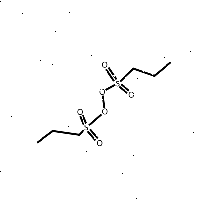 CCCS(=O)(=O)OOS(=O)(=O)CCC